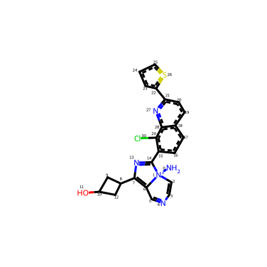 N[N+]12C=CN=CC1=C(C1CC(O)C1)N=C2c1ccc2ccc(-c3cccs3)nc2c1Cl